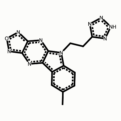 Cc1ccc2c(c1)c1nc3nonc3nc1n2CCc1nn[nH]n1